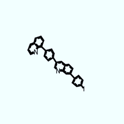 Ic1ccc(-c2ccc3cc(-c4ccc(-c5cccc6cccnc56)cc4)cnc3c2)cc1